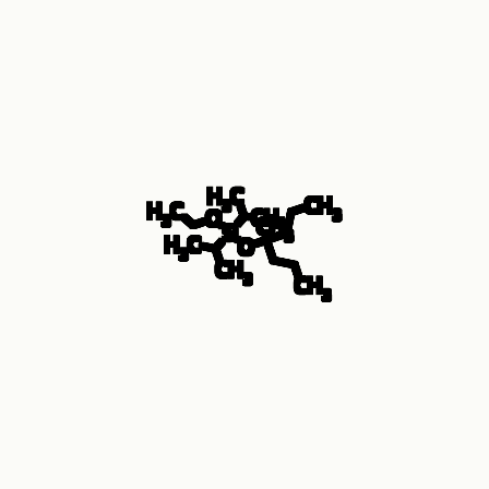 CCCC(C)(CCC)O[Si](OCC)(C(C)C)C(C)C